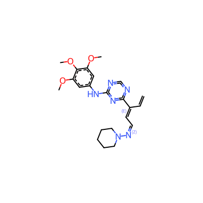 C=C/C(=C\C=N/N1CCCCC1)c1ncnc(Nc2cc(OC)c(OC)c(OC)c2)n1